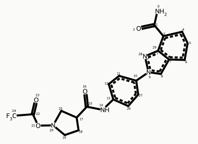 NC(=O)c1cccc2cn(-c3ccc(NC(=O)C4CCN(OC(=O)C(F)(F)F)C4)cc3)nc12